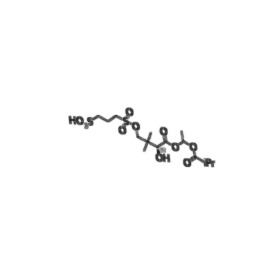 CC(OC(=O)C(C)C)OC(=O)[C@@H](O)C(C)(C)COS(=O)(=O)CCCS(=O)(=O)O